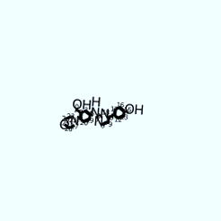 OCc1cc(Nc2nccc(-c3ccc(O)cc3)n2)ccc1N1CCOCC1